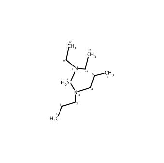 CCCN(CCC)[SiH2]N(CC)CC